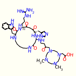 CN1CCN(C)CCN(CC(=O)CCNC2CC(=O)NCCCCCN[C@@H](Cc3c[nH]c4ccccc34)C(=O)N[C@@H](CCCNC(=N)N)C(=O)CC(=O)[C@H](Cc3cnc[nH]3)N2)CCN(CC(=O)O)CC1